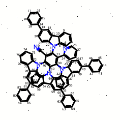 N#Cc1c(-n2c3ccccc3c3cc(-c4ccccc4)ccc32)c(-c2ccccn2)c(-n2c3ccccc3c3cc(-c4ccccc4)ccc32)c(-n2c3ccccc3c3cc(-c4ccccc4)ccc32)c1-n1c2ccccc2c2cc(-c3ccccc3)ccc21